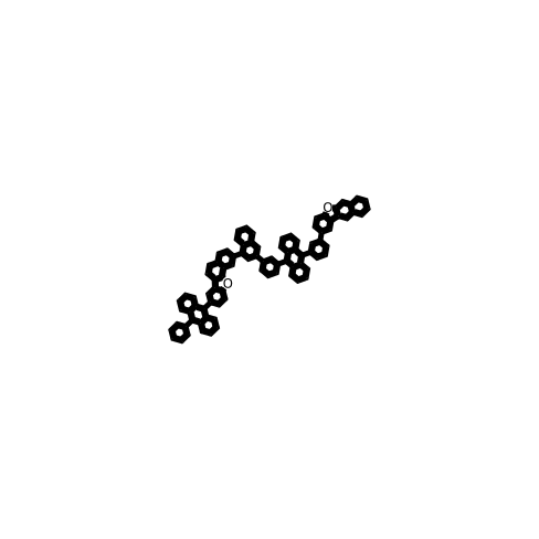 c1ccc(-c2c3ccccc3c(-c3ccc4oc5c6cc(-c7cc(-c8cccc(-c9c%10ccccc%10c(-c%10cccc(-c%11ccc%12oc%13cc%14ccccc%14cc%13c%12c%11)c%10)c%10ccccc9%10)c8)cc8ccccc78)ccc6ccc5c4c3)c3ccccc23)cc1